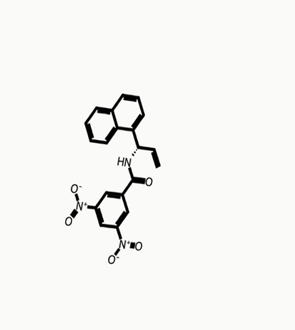 C=C[C@H](NC(=O)c1cc([N+](=O)[O-])cc([N+](=O)[O-])c1)c1cccc2ccccc12